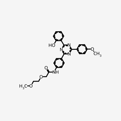 COCCOCC(=O)Nc1ccc(-c2nc(-c3ccc(OC)cc3)nc(-c3ccccc3O)n2)cc1